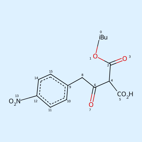 CCC(C)OC(=O)C(C(=O)O)C(=O)Cc1ccc([N+](=O)[O-])cc1